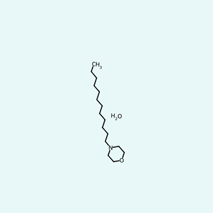 CCCCCCCCCCCCN1CCOCC1.O